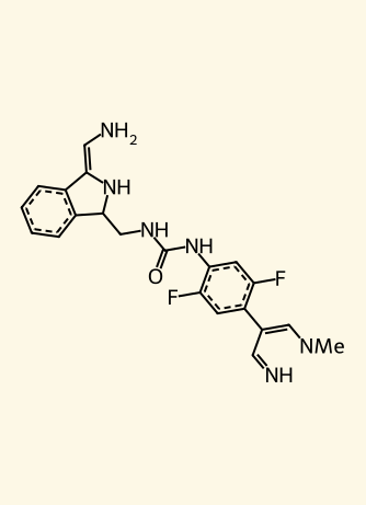 CN/C=C(\C=N)c1cc(F)c(NC(=O)NCC2N/C(=C\N)c3ccccc32)cc1F